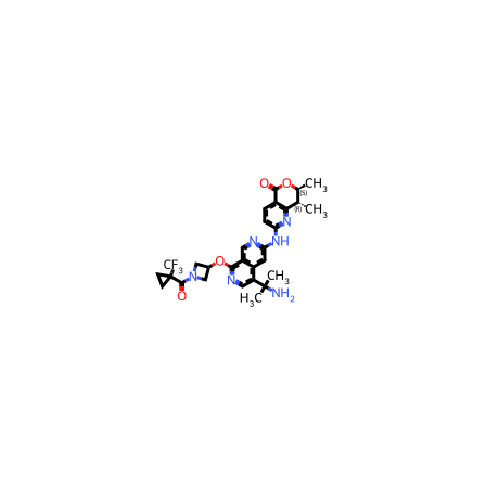 C[C@@H]1OC(=O)c2ccc(Nc3cc4c(C(C)(C)N)cnc(OC5CN(C(=O)C6(C(F)(F)F)CC6)C5)c4cn3)nc2[C@H]1C